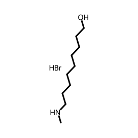 Br.CNCCCCCCCCCO